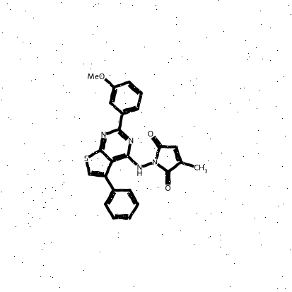 COc1cccc(-c2nc(NN3C(=O)C=C(C)C3=O)c3c(-c4ccccc4)csc3n2)c1